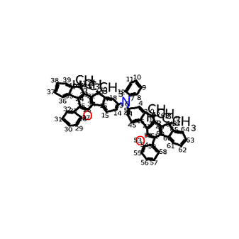 CC1(C)c2cc(N(c3ccccc3)c3ccc4c(c3)C(C)(C)c3c5c(c6c(oc7ccccc76)c3-4)-c3ccccc3C5(C)C)ccc2-c2c1c1c(c3c2oc2ccccc23)-c2ccccc2C1(C)C